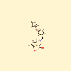 Cc1csc(CN(CCC(=O)O)Cc2cccc(SC3CCCC3)c2)c1